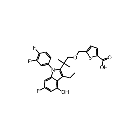 CCc1c(C(C)(C)COCc2ccc(C(=O)O)s2)n(-c2ccc(F)c(F)c2)c2cc(F)cc(O)c12